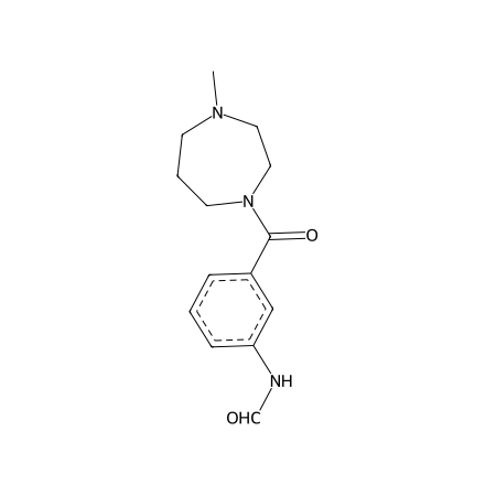 CN1CCCN(C(=O)c2cccc(NC=O)c2)CC1